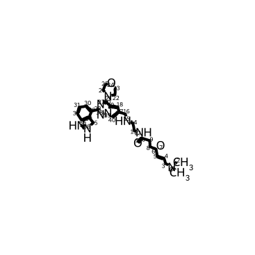 CN(C)C/C=C/C(=O)CCC(=O)NCCNCc1cc2c(N3CCOCC3)nc(-c3cccc4c3CNN4)nn2c1